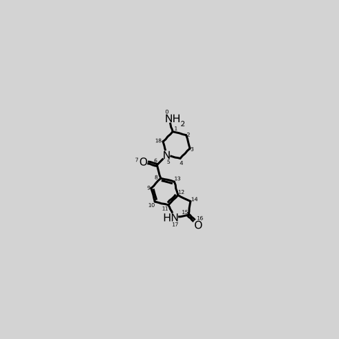 NC1CCCN(C(=O)c2ccc3c(c2)CC(=O)N3)C1